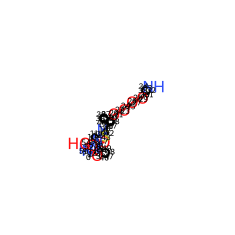 CC(C(=O)N[C@H](C(=O)N1CCCC1c1nc(-c2ccc(OCCOCCOCCOC3CCNCC3)c3ccccc23)cs1)C1CCCCC1)N(C)C(=O)O